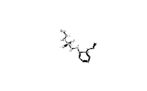 C=CCc1ccccc1OOS(=O)(=O)OOCC